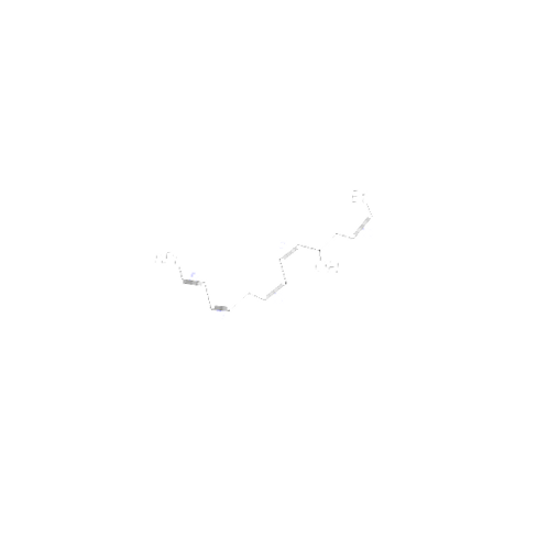 CC/C=C\CC(O)/C=C\C=C/C/C=C\C=C\CCC